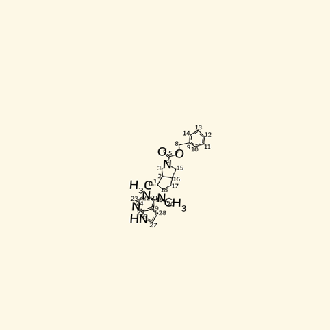 C[C@@H]1C2CN(C(=O)OCc3ccccc3)CC2C[C@@H]1N(C)c1ncnc2[nH]ccc12